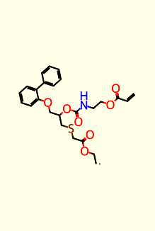 [CH2]COC(=O)CSCC(COc1ccccc1-c1ccccc1)OC(=O)NCCOC(=O)C=C